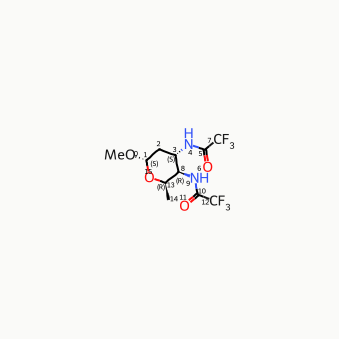 CO[C@@H]1C[C@H](NC(=O)C(F)(F)F)[C@@H](NC(=O)C(F)(F)F)[C@@H](C)O1